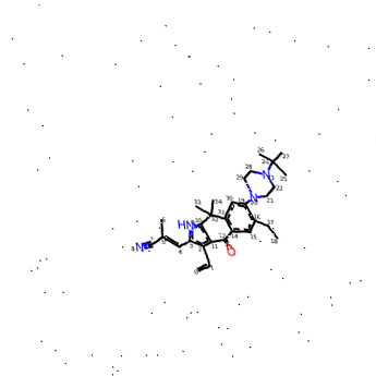 C=Cc1c(/C=C(\C)C#N)[nH]c2c1C(=O)c1cc(CC)c(N3CCN(C(C)(C)C)CC3)cc1C2(C)C